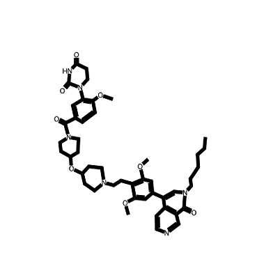 CCCCCCn1cc(-c2cc(OC)c(CCN3CCC(OC4CCN(C(=O)c5ccc(OC)c(N6CCC(=O)NC6=O)c5)CC4)CC3)c(OC)c2)c2ccncc2c1=O